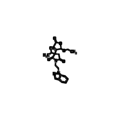 CCOC1OC(=O)CC1C1(C(C)C)CC(=O)N(CCn2ncc3ccccc32)C1=O